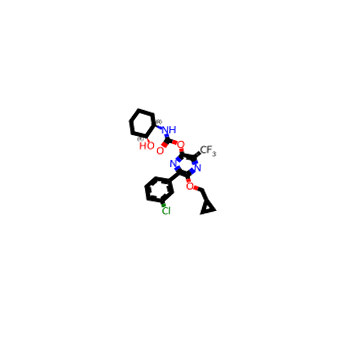 O=C(N[C@@H]1CCCC[C@H]1O)Oc1nc(-c2cccc(Cl)c2)c(OCC2CC2)nc1C(F)(F)F